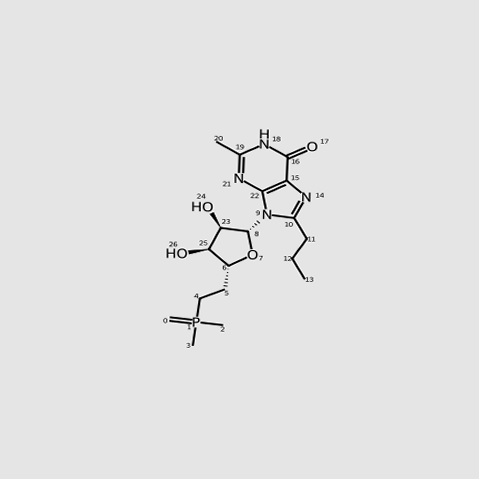 C=P(C)(C)CC[C@H]1O[C@@H](n2c(CCC)nc3c(=O)[nH]c(C)nc32)[C@H](O)[C@@H]1O